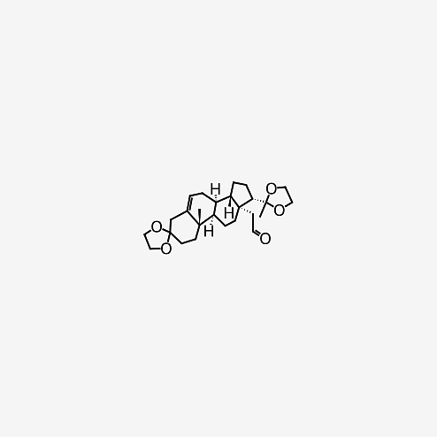 CC1([C@H]2CC[C@H]3[C@@H]4CC=C5CC6(CC[C@@]5(C)[C@@H]4CC[C@]23CC=O)OCCO6)OCCO1